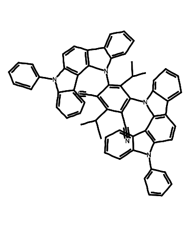 CC(C)c1c(C#N)c(-n2c3ccccc3c3ccc4c(c5ccccc5n4-c4ccccc4)c32)c(C(C)C)c(-n2c3ccccc3c3ccc4c(c5ccccc5n4-c4ccccc4)c32)c1C#N